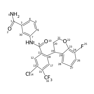 NC(=O)c1cccc(NC(=O)c2cc(Cl)c(C(F)(F)F)cc2C2CCOc3c(F)cccc32)c1